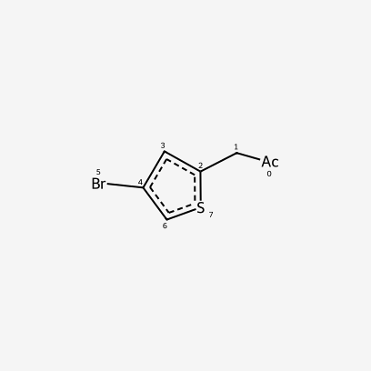 CC(=O)Cc1cc(Br)cs1